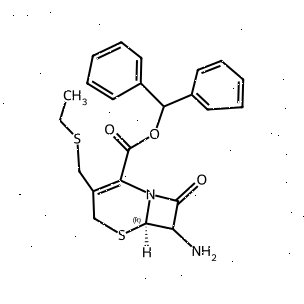 CCSCC1=C(C(=O)OC(c2ccccc2)c2ccccc2)N2C(=O)C(N)[C@H]2SC1